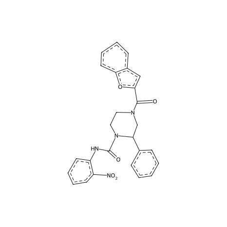 O=C(c1cc2ccccc2o1)N1CCN(C(=O)Nc2ccccc2[N+](=O)[O-])C(c2ccccc2)C1